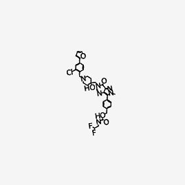 Cn1nc2c(=O)n(CC3(O)CCN(Cc4ccc(-c5ccco5)cc4Cl)CC3)cnc2c1-c1ccc(COC(=O)NCC(F)F)cc1